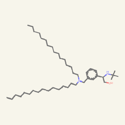 CCCCCCCCCCCCCCCCN(CCCCCCCCCCCCCCCC)Cc1cccc(C(CO)NC(C)(C)C)c1